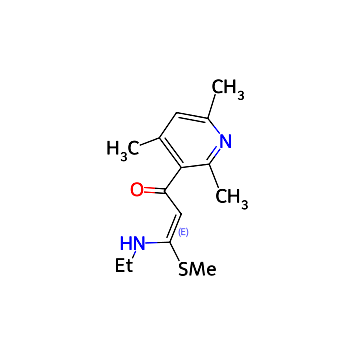 CCN/C(=C\C(=O)c1c(C)cc(C)nc1C)SC